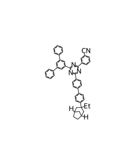 CCC1(c2ccc(-c3ccc(-c4nc(-c5cccc(C#N)c5)nc(-c5cc(-c6ccccc6)cc(-c6ccccc6)c5)n4)cc3)cc2)C[C@@H]2CC[C@@H](C2)C1